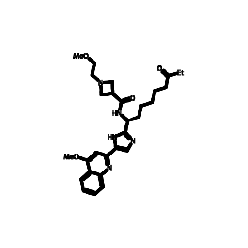 CCC(=O)CCCCC[C@H](NC(=O)C1CN(CCOC)C1)c1ncc(-c2cc(OC)c3ccccc3n2)[nH]1